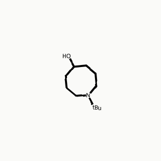 CC(C)(C)N1CCCC(O)CCC1